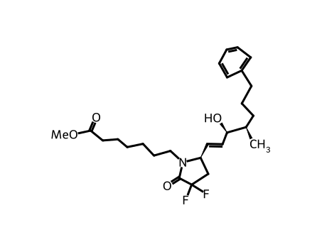 COC(=O)CCCCCCN1C(=O)C(F)(F)C[C@@H]1/C=C/[C@@H](O)[C@H](C)CCCc1ccccc1